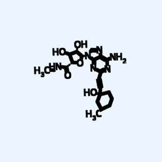 CCNC(=O)[C@H]1O[C@@H](n2cnc3c(N)nc(C#C[C@]4(O)CCC[C@H](C)C4)nc32)[C@@H](O)C1O